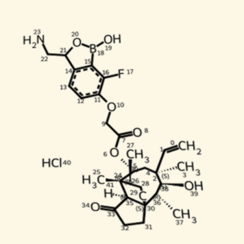 C=C[C@]1(C)C[C@@H](OC(=O)COc2ccc3c(c2F)B(O)OC3CN)[C@]2(C)[C@H](C)CC[C@]3(CCC(=O)[C@H]32)[C@@H](C)[C@@H]1O.Cl